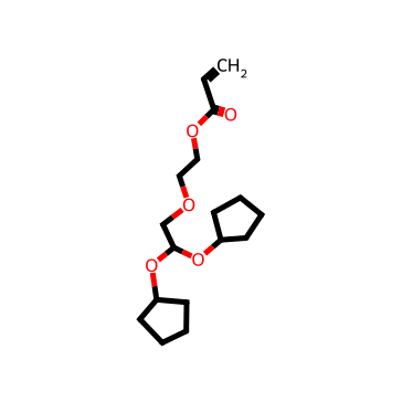 C=CC(=O)OCCOCC(OC1CCCC1)OC1CCCC1